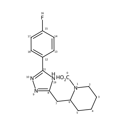 O=C(O)N1CCCCC1Cc1nnc(-c2ccc(F)cc2)[nH]1